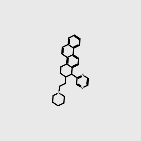 c1ccc2c(c1)ccc1c3c(ccc12)C(c1cnccn1)C(CCN1CCCCC1)CC3